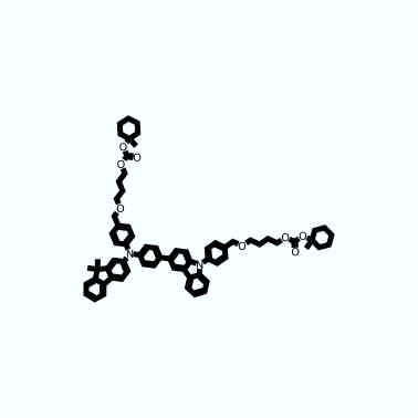 CC1(OC(=O)OCCCCOCc2ccc(N(c3ccc(-c4ccc5c(c4)c4ccccc4n5-c4ccc(COCCCCOC(=O)OC5(C)CCCCC5)cc4)cc3)c3ccc4c(c3)C(C)(C)c3ccccc3-4)cc2)CCCCC1